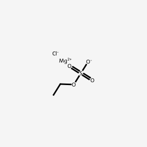 CCOS(=O)(=O)[O-].[Cl-].[Mg+2]